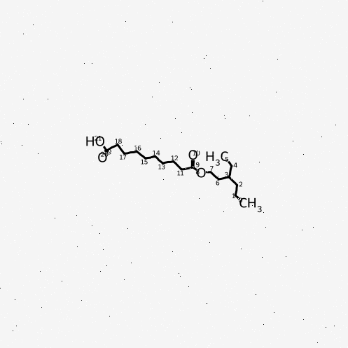 CCCC(CC)CCOC(=O)CCCCCCCCC(=O)O